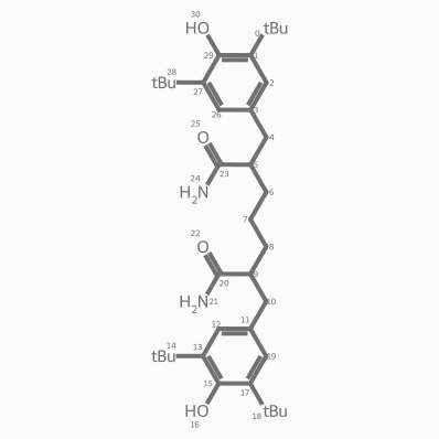 CC(C)(C)c1cc(CC(CCCC(Cc2cc(C(C)(C)C)c(O)c(C(C)(C)C)c2)C(N)=O)C(N)=O)cc(C(C)(C)C)c1O